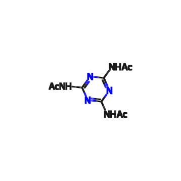 CC(=O)Nc1nc(NC(C)=O)nc(NC(C)=O)n1